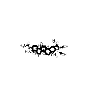 C#CON(C#C)C(=O)[C@@]1(C)CC[C@]2(C)CC[C@]3(C)C(=CC(=O)[C@@H]4[C@@]5(C)CC[C@H](OC(C)=O)C(C)(C)C5CC[C@]43C)[C@@H]2C1